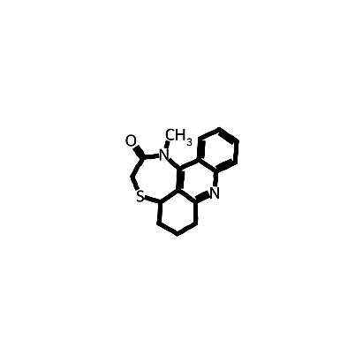 CN1C(=O)CSC2CCCc3nc4ccccc4c1c32